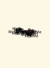 COCC1O[C@@H](O[C@@H]2C(Cn3cc(CN(CCCNC(=O)OC(C)(C)C)Cc4cn(CC5O[C@@H](O[C@@H]6C(COC)O[C@@H](C)C(OC)[C@H]6O)C(OC)[C@@H](O)[C@@H]5OC)nn4)nn3)O[C@@H](C)C(OC)[C@H]2O)C(OC)[C@@H](O)[C@@H]1OC